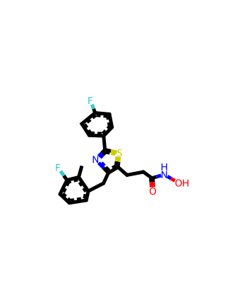 Cc1c(F)cccc1Cc1nc(-c2ccc(F)cc2)sc1CCC(=O)NO